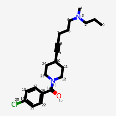 CCCN(C)CCCC#CC1CCN(C(=O)c2ccc(Cl)cc2)CC1